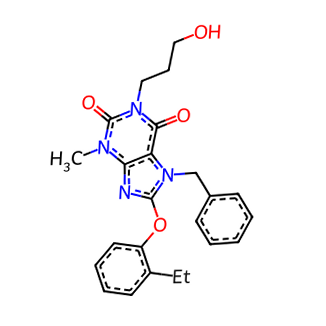 CCc1ccccc1Oc1nc2c(c(=O)n(CCCO)c(=O)n2C)n1Cc1ccccc1